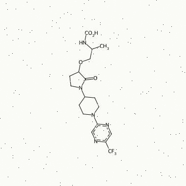 CC(COC1CCN(C2CCN(c3cnc(C(F)(F)F)cn3)CC2)C1=O)NC(=O)O